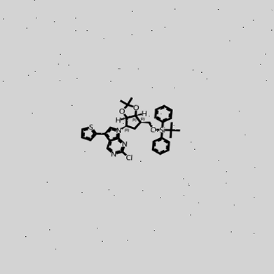 CC1(C)O[C@@H]2[C@@H](CO[Si](c3ccccc3)(c3ccccc3)C(C)(C)C)C[C@@H](n3cc(-c4cccs4)c4cnc(Cl)nc43)[C@@H]2O1